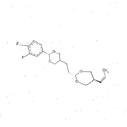 C/C=C\[C@H]1CO[C@H](CCC2COC(c3ccc(F)c(F)c3)OC2)OC1